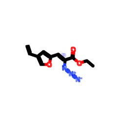 C=Cc1coc(/C=C(\N=[N+]=[N-])C(=O)OCC)c1